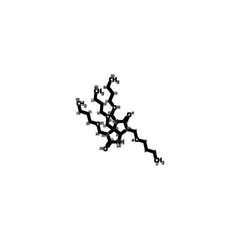 CCCCOCN1C(=O)N(COCCCC)C2(COCCCC)C1NC(=O)N2COCCCC